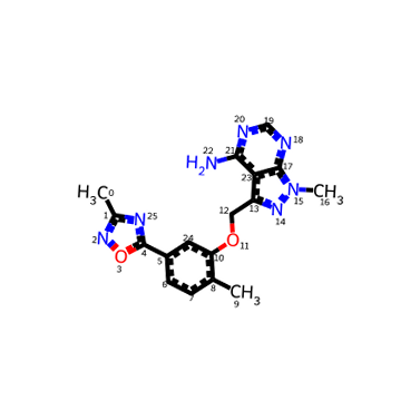 Cc1noc(-c2ccc(C)c(OCc3nn(C)c4ncnc(N)c34)c2)n1